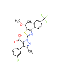 COC(C)c1sc(-n2nc(C)c(-c3cccc(F)c3)c2C(=O)O)nc1-c1ccc(C(F)(F)F)cc1